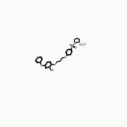 CCCc1cc(Oc2ccccc2)ccc1OCCCOc1ccc(S(=O)(=O)N2CCC[C@@H]2C(=O)O)cc1